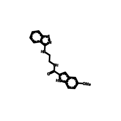 COc1ccc2[nH]c(C(=O)NCCNc3nsc4ccccc34)cc2c1